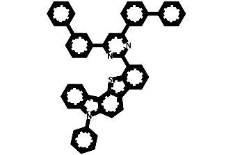 c1ccc(-c2cccc(-c3cc(-c4cccc(-c5ccccc5)c4)nc(-c4cccc5c4sc4c5ccc5c4c4ccccc4n5-c4ccccc4)n3)c2)cc1